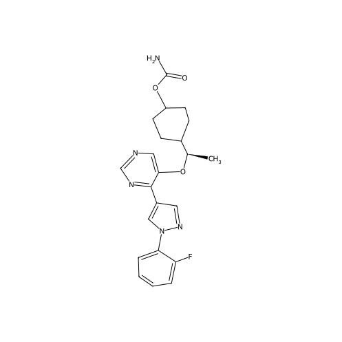 C[C@@H](Oc1cncnc1-c1cnn(-c2ccccc2F)c1)C1CCC(OC(N)=O)CC1